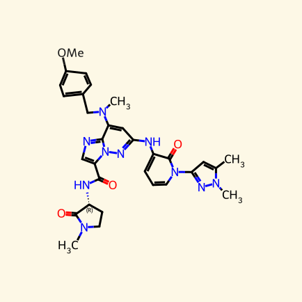 COc1ccc(CN(C)c2cc(Nc3cccn(-c4cc(C)n(C)n4)c3=O)nn3c(C(=O)N[C@@H]4CCN(C)C4=O)cnc23)cc1